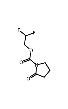 O=C1[CH]CCN1C(=O)OCC(F)F